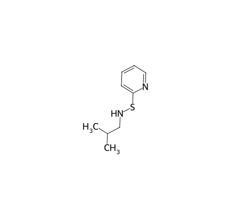 CC(C)CNSc1ccccn1